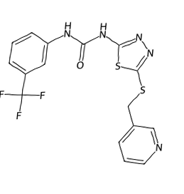 O=C(Nc1cccc(C(F)(F)F)c1)Nc1nnc(SCc2cccnc2)s1